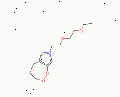 CCOCCOCCn1cc2c(c1)OOCCC2